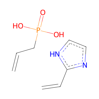 C=CCP(=O)(O)O.C=Cc1ncc[nH]1